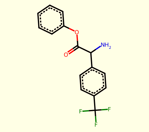 NC(C(=O)Oc1ccccc1)c1ccc(C(F)(F)F)cc1